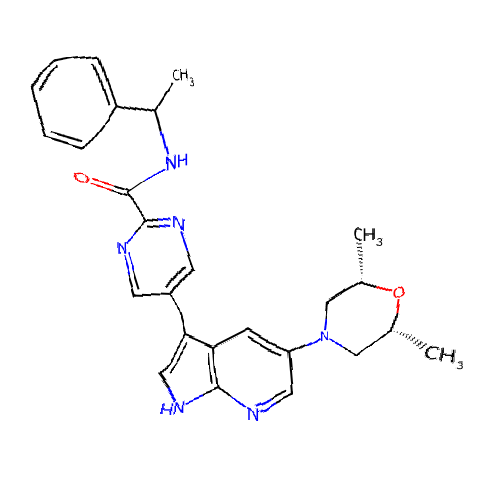 CC(NC(=O)c1ncc(-c2c[nH]c3ncc(N4C[C@@H](C)O[C@@H](C)C4)cc23)cn1)c1ccccc1